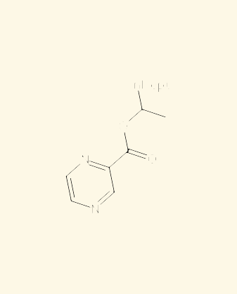 CCCCCCCC(C)OC(=O)c1cnccn1